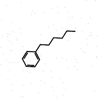 CCCCCCc1ccccc1